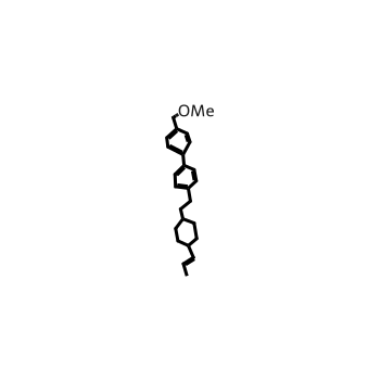 C/C=C/C1CCC(CCc2ccc(-c3ccc(COC)cc3)cc2)CC1